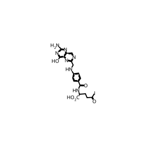 Nc1nc(O)c2nc(CNc3ccc(C(=O)NC(CCC(=O)I)C(=O)O)cc3)ncc2n1